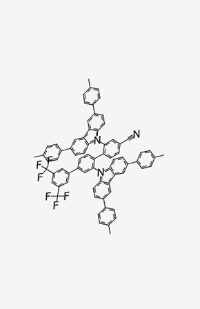 Cc1ccc(-c2ccc3c(c2)c2cc(-c4ccc(C)cc4)ccc2n3-c2cc(C#N)ccc2-c2ccc(-c3cc(C(F)(F)F)cc(C(F)(F)F)c3)cc2-n2c3ccc(-c4ccc(C)cc4)cc3c3cc(-c4ccc(C)cc4)ccc32)cc1